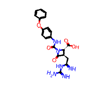 N=C(N)NC(=N)C[C@H]1C(=O)N(C(=O)Nc2ccc(Oc3ccccc3)cc2)[C@@H]1C(=O)O